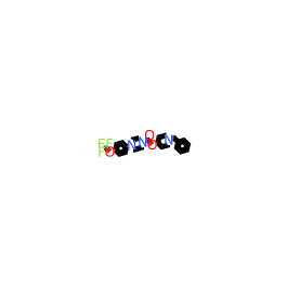 O=C(OC1CCN(Cc2ccccc2)CC1)N1CCN(c2ccc(OC(F)(F)F)cc2)CC1